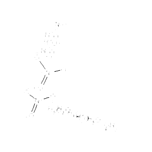 O.O.O.O.O.O.O.O.O.O=[N+]([O-])[O-].O=[N+]([O-])[O-].[Ni+2]